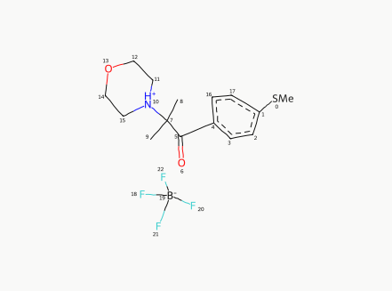 CSc1ccc(C(=O)C(C)(C)[NH+]2CCOCC2)cc1.F[B-](F)(F)F